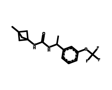 CC(NC(=O)NC12CC(C)(C1)C2)c1cccc(OC(F)(F)F)c1